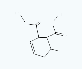 CCC1CC=CC(C(=O)OO)C1C(=O)OO